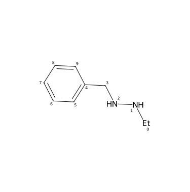 CCNNCc1ccccc1